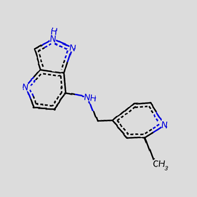 Cc1cc(CNc2ccnc3c[nH]nc23)ccn1